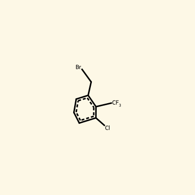 FC(F)(F)c1c(Cl)cccc1CBr